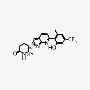 Cc1cc(C(F)(F)F)cc(O)c1-c1ccc2cn([C@H]3CCC(=O)N[C@@H]3C)nc2n1